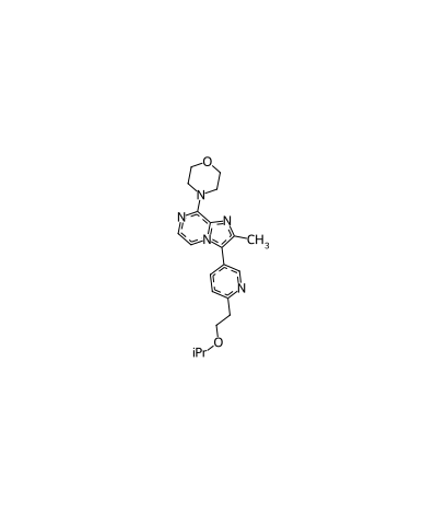 Cc1nc2c(N3CCOCC3)nccn2c1-c1ccc(CCOC(C)C)nc1